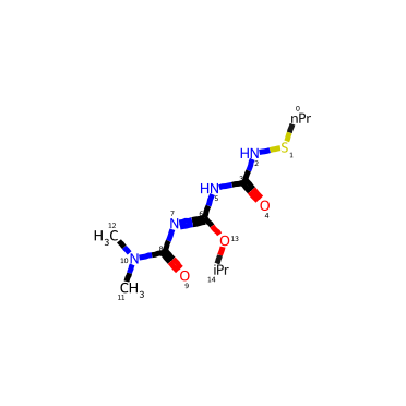 CCCSNC(=O)NC(=NC(=O)N(C)C)OC(C)C